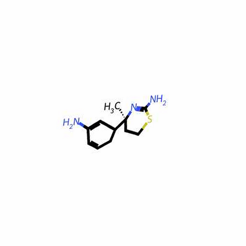 C[C@@]1(C2C=C(N)C=CC2)CCSC(N)=N1